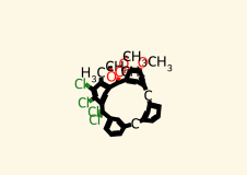 COc1cc2cc(c1OC)C(OC)(OC)c1cc(c(Cl)c(Cl)c1C)C(Cl)(Cl)c1cccc(c1)Cc1cccc(c1)C2